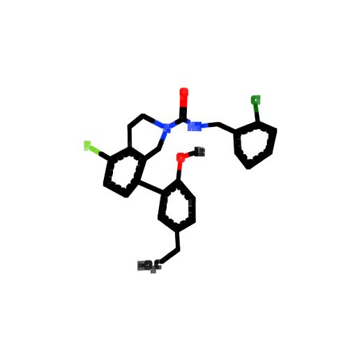 CCOc1ccc(CC(=O)O)cc1-c1ccc(F)c2c1CN(C(=O)NCc1ccccc1Cl)CC2